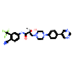 C[C@](O)(CN1CCN(c2ccc(-c3cncnc3)cc2)CC1)C(=O)Nc1ccc(C#N)c(C(F)(F)F)c1